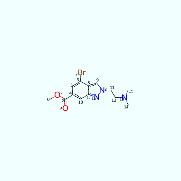 COC(=O)c1cc(Br)c2cn(CCN(C)C)nc2c1